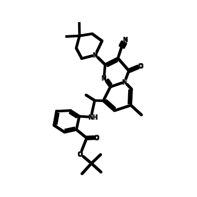 Cc1cc(C(C)Nc2ccccc2C(=O)OC(C)(C)C)c2nc(N3CCC(C)(C)CC3)c(C#N)c(=O)n2c1